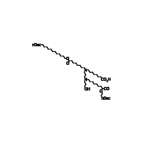 CCCCCCCCCCCCCCCCCCCCCCOC(=O)CCCCCCCN(CCCCCCCC(=O)O)CCCN(CCCO)CCCCCCCC(=C=O)OCCCCCCCCCCCC